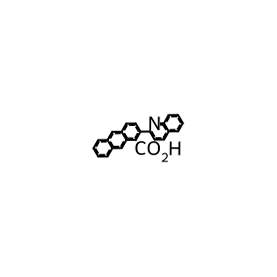 O=C(O)c1c(-c2ccc3ccccc3n2)ccc2cc3ccccc3cc12